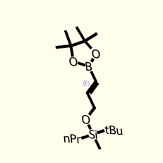 CCC[Si](C)(OC/C=C/B1OC(C)(C)C(C)(C)O1)C(C)(C)C